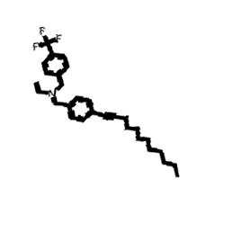 CCCCCCCCCCC#Cc1ccc(CN(CC)Cc2ccc(C(F)(F)F)cc2)cc1